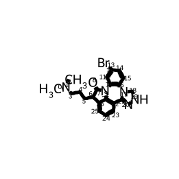 CN(C)CCCC1C(=O)N2c3cc(Br)ccc3N3CNN=C3c3cccc1c32